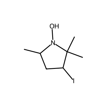 CC1CC(I)C(C)(C)N1O